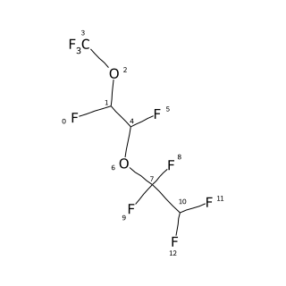 FC(OC(F)(F)F)C(F)OC(F)(F)C(F)F